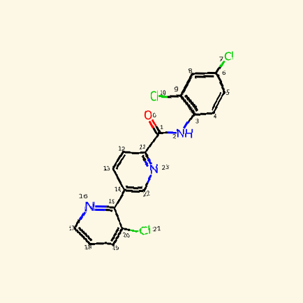 O=C(Nc1ccc(Cl)cc1Cl)c1ccc(-c2ncccc2Cl)cn1